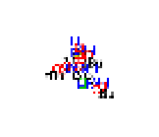 Cc1cc(NS(=O)(=O)NC(=O)OC(C)(C)C)cc(CNc2ccc(Cl)cc2C(=O)Nc2ccc(C(=N)NC(=O)OC(C)(C)C)cc2)c1OCC(=O)OC(C)(C)C